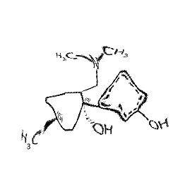 C[C@H]1CCC(CN(C)C)[C@@](O)(c2cccc(O)c2)C1